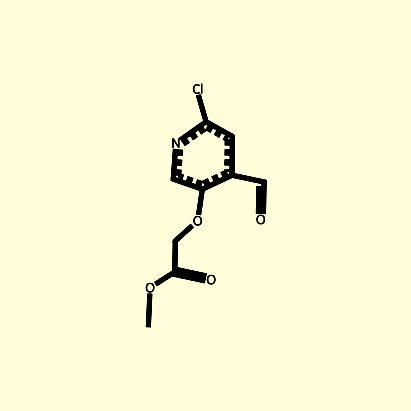 COC(=O)COc1cnc(Cl)cc1C=O